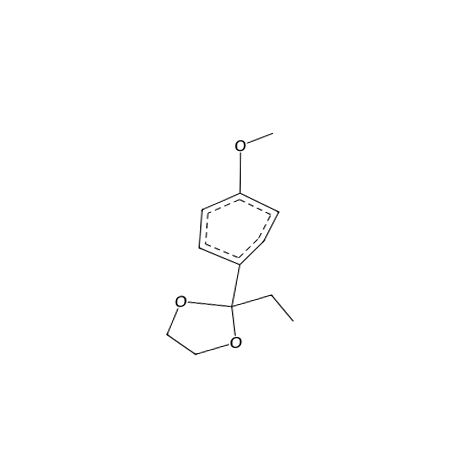 CCC1(c2ccc(OC)cc2)OCCO1